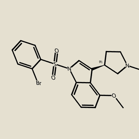 COc1cccc2c1c([C@H]1CCN(C)C1)cn2S(=O)(=O)c1ccccc1Br